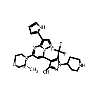 Cc1nn(C2CCNCC2)c(C(F)(F)F)c1-c1cc(N2CCOC[C@H]2C)nc2c(-c3ccc[nH]3)cnn12